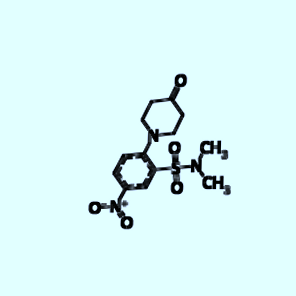 CN(C)S(=O)(=O)c1cc([N+](=O)[O-])ccc1N1CCC(=O)CC1